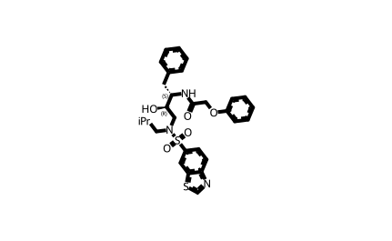 CC(C)CN(C[C@@H](O)[C@H](Cc1ccccc1)NC(=O)COc1ccccc1)S(=O)(=O)c1ccc2ncsc2c1